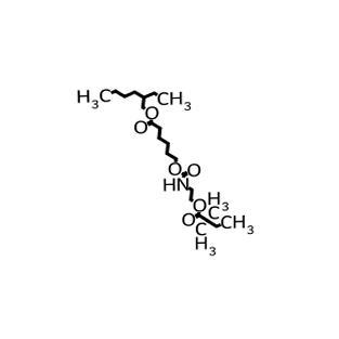 CCCCC(CC)COC(=O)CCCCCOC(=O)NCCOC(=O)C(C)(C)CC